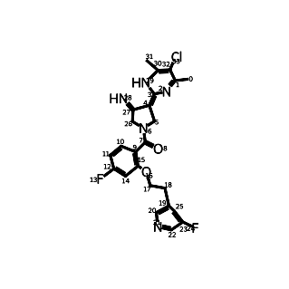 CC1=N/C(=C2\CN(C(=O)c3ccc(F)cc3OCCc3cncc(F)c3)CC2=N)NC(C)=C1Cl